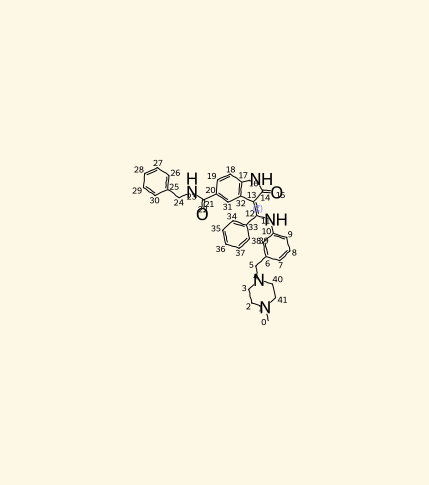 CN1CCN(Cc2cccc(N/C(=C3\C(=O)Nc4ccc(C(=O)NCc5ccccc5)cc43)c3ccccc3)c2)CC1